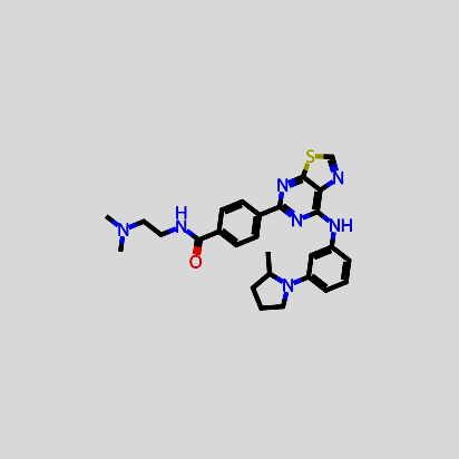 CC1CCCN1c1cccc(Nc2nc(-c3ccc(C(=O)NCCN(C)C)cc3)nc3scnc23)c1